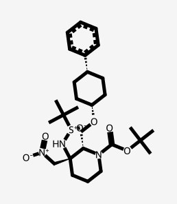 CC(C)(C)OC(=O)N1CCC[C@](C[N+](=O)[O-])(N[S+]([O-])C(C)(C)C)[C@@H]1CO[C@H]1CC[C@@H](c2ccccc2)CC1